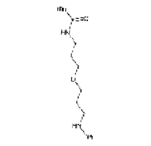 CC(C)NCCCOCCCNC(=O)C(C)(C)C